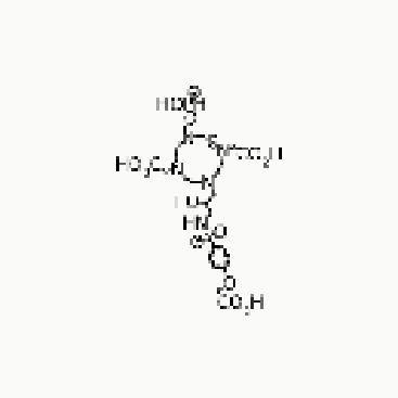 O=C(O)COc1ccc(S(=O)(=O)NCC(O)CN2CCN(CC(=O)O)CCN(CO[PH](=O)O)CCN(CC(=O)O)CC2)cc1